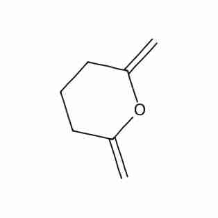 C=C1CCCC(=C)O1